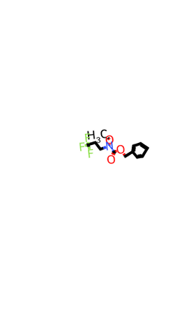 CON(CCC(F)(F)F)C(=O)OCc1ccccc1